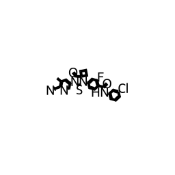 Cc1cc(N2C(=O)C3(CCC3)N(c3ccc(C(=O)Nc4cccc(Cl)c4)c(F)c3)C2=S)cnc1C#N